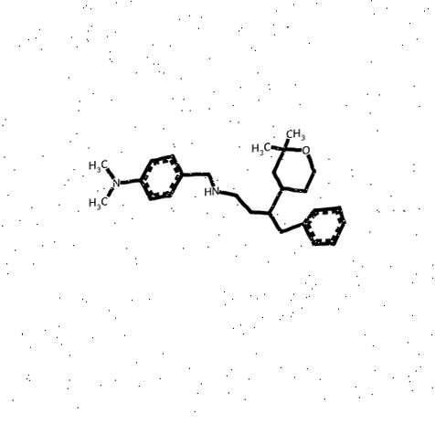 CN(C)c1ccc(CNCCC(Cc2ccccc2)C2CCOC(C)(C)C2)cc1